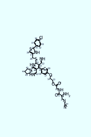 [N-]=[N+]=NC[C@H](N)C(=O)NCC(=O)OCCOc1ccc(C2=C(C=N)C(SCC3=CSC(c4ccc(Cl)cc4)N3)NC(N3CCCC3)=C2C=N)cc1